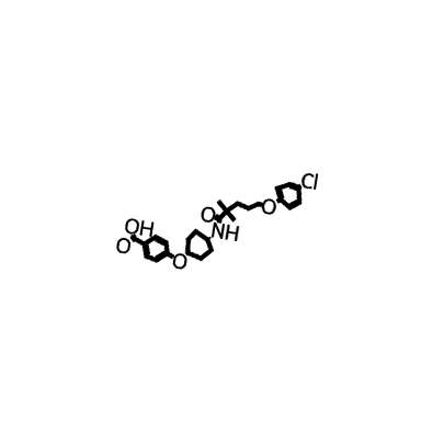 CC(C)(CCCOc1ccc(Cl)cc1)C(=O)N[C@H]1CC[C@@H](Oc2ccc(C(=O)O)cc2)CC1